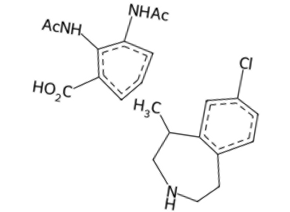 CC(=O)Nc1cccc(C(=O)O)c1NC(C)=O.CC1CNCCc2ccc(Cl)cc21